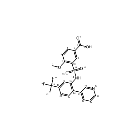 COc1ccc(C(=O)O)cc1S(=O)(=O)Nc1cc(C(F)(F)F)ccc1-c1cccnc1